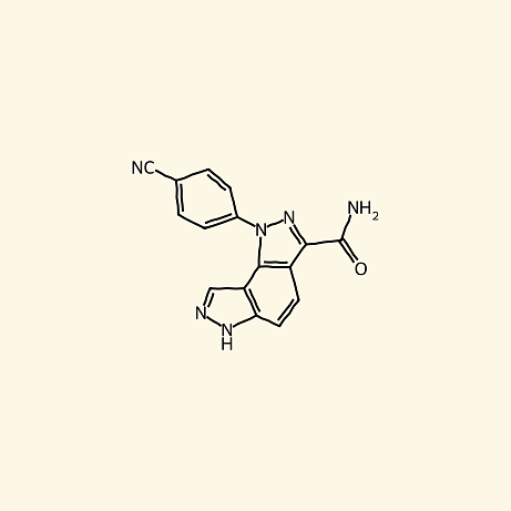 N#Cc1ccc(-n2nc(C(N)=O)c3ccc4[nH]ncc4c32)cc1